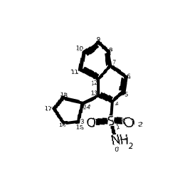 NS(=O)(=O)c1ccc2ccccc2c1C1CCCC1